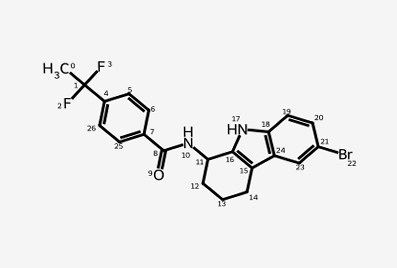 CC(F)(F)c1ccc(C(=O)NC2CCCc3c2[nH]c2ccc(Br)cc32)cc1